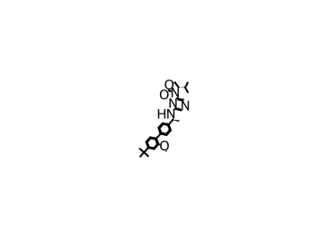 COc1cc(C(C)(C)C)ccc1-c1ccc([C@H](C)Nc2cncc(N3C(=O)OC[C@@H]3C(C)C)n2)cc1